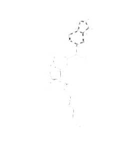 CC(=O)CCCCCC[C@@H]1[C@@H](CCC(O)c2ccc3sccc3c2)[C@H](O)C[C@@H]1O